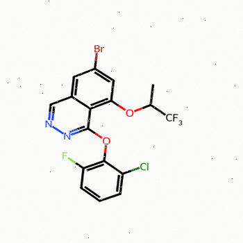 CC(Oc1cc(Br)cc2cnnc(Oc3c(F)cccc3Cl)c12)C(F)(F)F